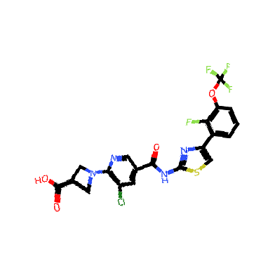 O=C(Nc1nc(-c2cccc(OC(F)(F)F)c2F)cs1)c1cnc(N2CC(C(=O)O)C2)c(Cl)c1